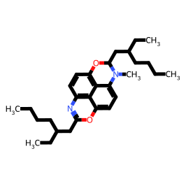 CCCCC(CC)CC1=Nc2ccc3c4c(ccc(c24)O1)N(C)C(CC(CC)CCCC)O3